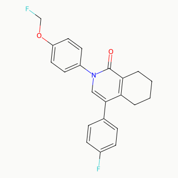 O=c1c2c(c(-c3ccc(F)cc3)cn1-c1ccc(OCF)cc1)CCCC2